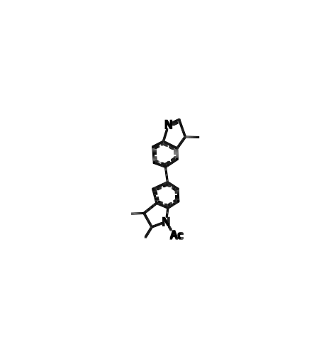 CC(=O)N1c2ccc(-c3ccc4c(c3)C(C)C=N4)cc2C(C)C1C